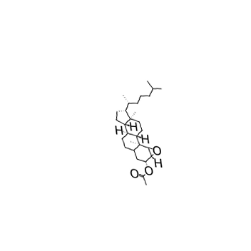 CC(=O)O[C@@H]1CC2CC[C@@H]3[C@H](CC[C@]4(C)[C@@H]([C@H](C)CCCC(C)C)CC[C@@H]34)[C@@]2(C)C2O[C@@H]21